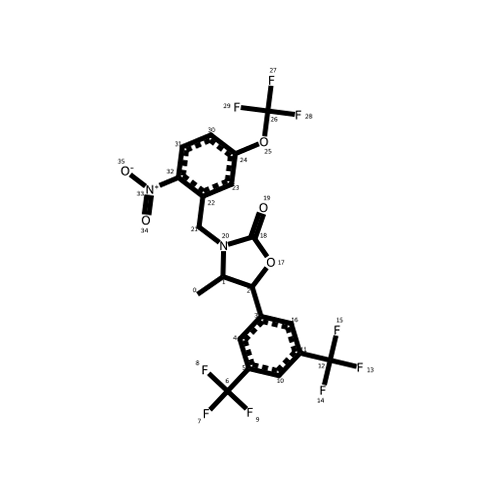 CC1C(c2cc(C(F)(F)F)cc(C(F)(F)F)c2)OC(=O)N1Cc1cc(OC(F)(F)F)ccc1[N+](=O)[O-]